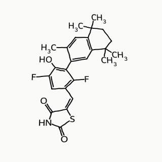 Cc1cc2c(cc1-c1c(O)c(F)cc(/C=C3/SC(=O)NC3=O)c1F)C(C)(C)CCC2(C)C